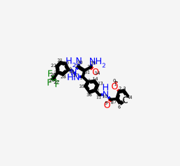 COc1ccccc1C(=O)NCc1ccc(C2NN(c3cccc(C(F)(F)F)c3)C(N)=C2C(N)=O)cc1